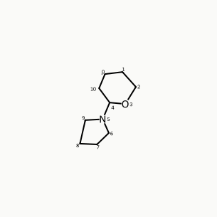 [CH]1CCOC(N2CCCC2)C1